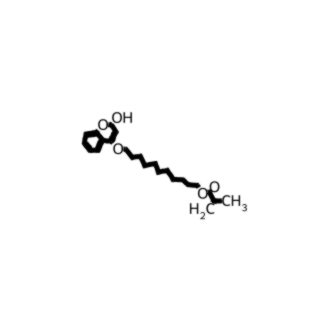 C=C(C)C(=O)OCCCCCCCCCCCOC1=CC(O)Oc2ccccc21